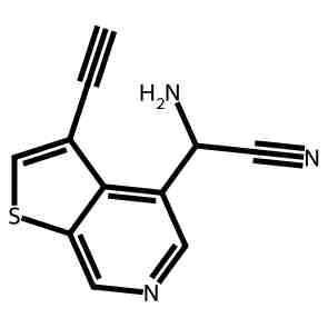 C#Cc1csc2cncc(C(N)C#N)c12